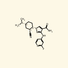 CN(C)[C@@H]1CC[C@H](n2cc(C(N)=O)c(Nc3ccnc(F)c3)n2)[C@@H](C#N)C1